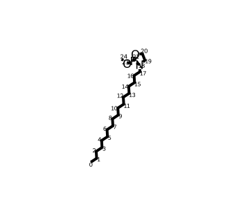 CCCCCCCCCCCCCCCCCCN1CCOP1OC